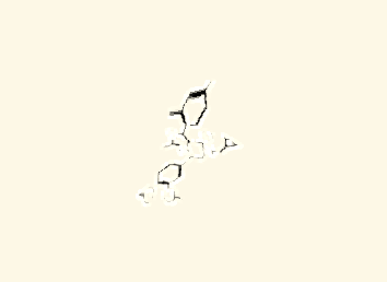 COc1ccc(CCN(CC2CC2)C(=O)c2nc(C)sc2-c2ccc(C)cc2C)cc1OC